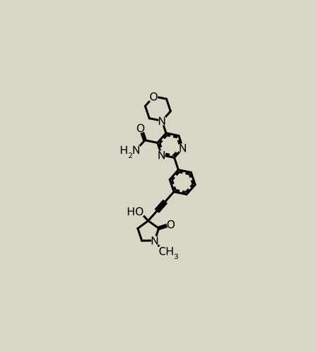 CN1CCC(O)(C#Cc2cccc(-c3ncc(N4CCOCC4)c(C(N)=O)n3)c2)C1=O